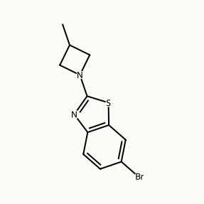 CC1CN(c2nc3ccc(Br)cc3s2)C1